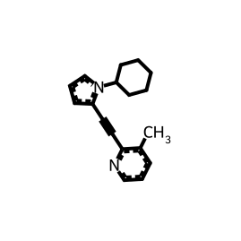 Cc1cccnc1C#Cc1cccn1C1CCCCC1